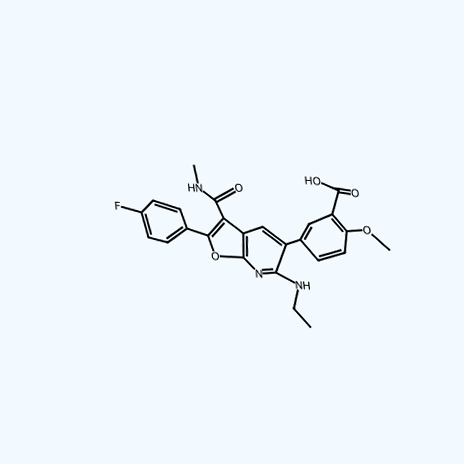 CCNc1nc2oc(-c3ccc(F)cc3)c(C(=O)NC)c2cc1-c1ccc(OC)c(C(=O)O)c1